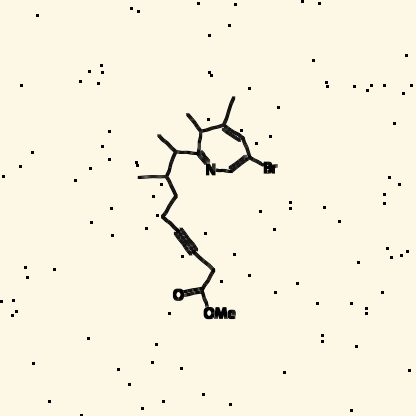 COC(=O)CC#CCCC(C)C(C)C1=NC=C(Br)C=C(C)C1C